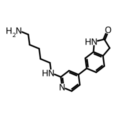 NCCCCCNc1cc(-c2ccc3c(c2)NC(=O)C3)ccn1